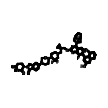 CCc1cccc2cc(O)cc(-c3ncc4c(N5CC6CCC(C5)N6)nc(OCC5(CN6CCC(N7CCN(c8ccc9c(c8)CN([C@H]8CCC(=O)NC8=O)C9=O)CC7)C(F)(F)C6)CC5)nc4c3F)c12